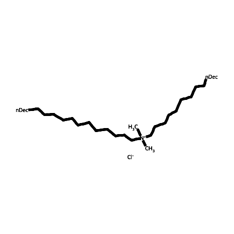 CCCCCCCCCCCCCCCCCCCCCC[N+](C)(C)CCCCCCCCCCCCCCCCCCC.[Cl-]